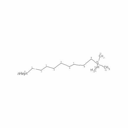 CCCCCCCCCCCCCCCC[PH](C)(C)C